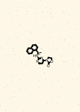 C[C@@H](Nc1nccc(N2CCOC2=O)n1)c1cccc2ccccc12